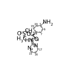 C[S+](C)[O-].Nc1ccc(S(=O)(=O)Nc2ncccn2)cc1